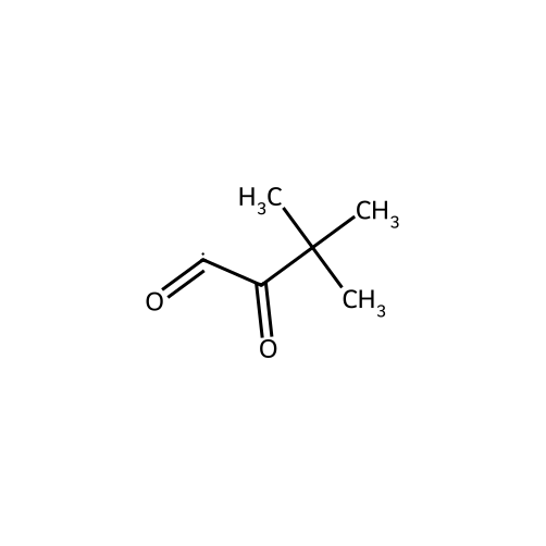 CC(C)(C)C(=O)[C]=O